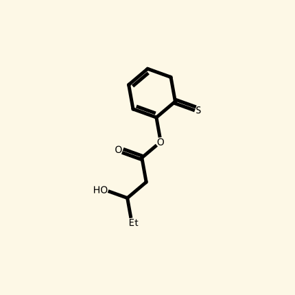 CCC(O)CC(=O)OC1=CC=CCC1=S